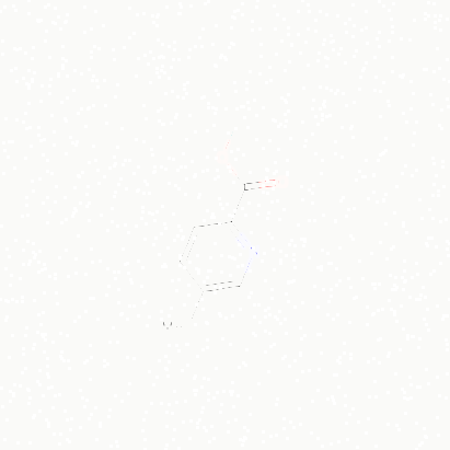 COc1ccc(C(=O)OF)nc1